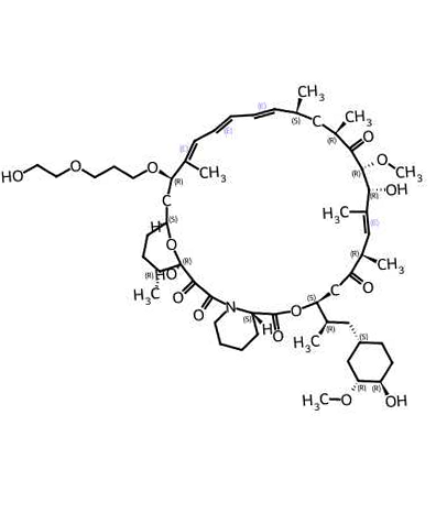 CO[C@@H]1C[C@H](C[C@@H](C)[C@@H]2CC(=O)[C@H](C)/C=C(\C)[C@@H](O)[C@@H](OC)C(=O)[C@H](C)C[C@H](C)/C=C/C=C/C=C(\C)[C@H](OCCCOCCO)C[C@@H]3CC[C@@H](C)[C@@](O)(O3)C(=O)C(=O)N3CCCC[C@H]3C(=O)O2)CC[C@H]1O